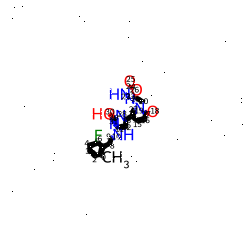 Cc1cccc(F)c1CCNc1cc(-c2ccc(=O)n(Cc3n[nH]c(=O)o3)c2)nc(O)n1